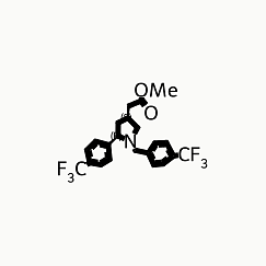 COC(=O)C[C@@H]1C[C@H](c2ccc(C(F)(F)F)cc2)N(Cc2ccc(C(F)(F)F)cc2)C1